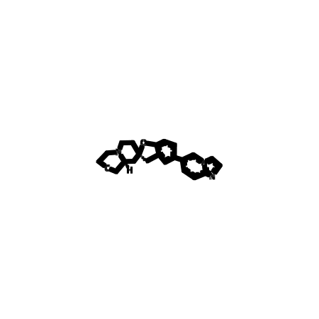 c1cn2cc(-c3ccc4c(c3)C[C@]3(CCN5CCCC[C@@H]5C3)O4)ccc2n1